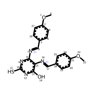 COc1ccc(/C=N/c2nc(S)nc(O)c2/N=C/c2ccc(OC)cc2)cc1